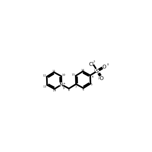 O=S(=O)(Cl)c1ccc(C[n+]2ccccc2)cc1